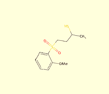 COc1ccccc1S(=O)(=O)CCC(C)S